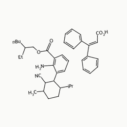 CCCCC(CC)COC(=O)c1cccc(C2C(C#N)C(C)CCC2C(C)C)c1N.O=C(O)C=C(c1ccccc1)c1ccccc1